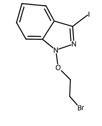 BrCCOn1nc(I)c2ccccc21